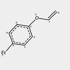 C=COc1ccc(CC)cc1